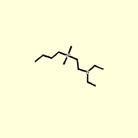 CCCC[N+](C)(C)CCN(CC)CC